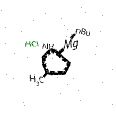 CCC[CH2][Mg][c]1ccc(C)cc1.Cl.[AlH3]